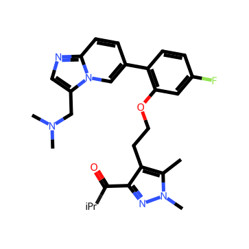 Cc1c(CCOc2cc(F)ccc2-c2ccc3ncc(CN(C)C)n3c2)c(C(=O)C(C)C)nn1C